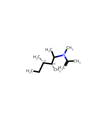 C=C(C)N(C)C(C)[C@H](C)[C@@H](C)CC